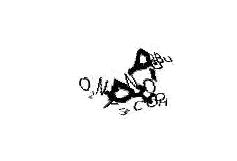 CCCCOCCOC(=O)C(O)(c1cn(Cc2ccccc2)c2cc([N+](=O)[O-])ccc12)C(F)(F)F